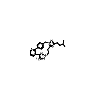 CCCc1nc(CCC(C)C)nn1Cc1ccc(-c2ncccc2-c2nnn[nH]2)cc1